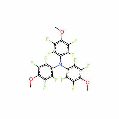 COc1c(F)c(F)c(N(c2c(F)c(F)c(OC)c(F)c2F)c2c(F)c(F)c(OC)c(F)c2F)c(F)c1F